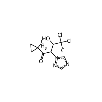 CC1(C(=O)C(C(O)C(Cl)(Cl)Cl)n2cncn2)CC1